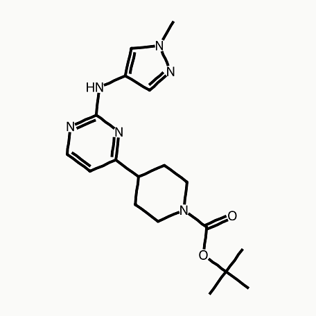 Cn1cc(Nc2nccc(C3CCN(C(=O)OC(C)(C)C)CC3)n2)cn1